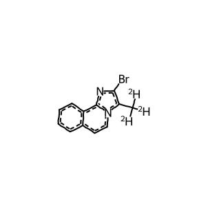 [2H]C([2H])([2H])c1c(Br)nc2c3ccccc3ccn12